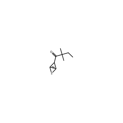 CCC(C)(C)C(=O)C1C2=C1S2